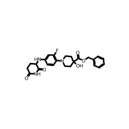 O=C1CCC(Nc2ccc(N3CCC(O)(C(=O)OCc4ccccc4)CC3)c(F)c2)C(=O)N1